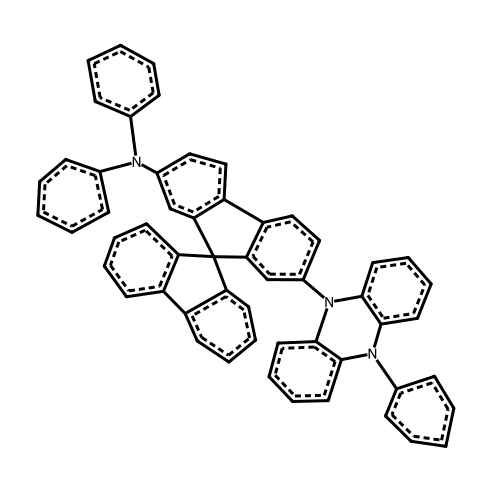 c1ccc(N(c2ccccc2)c2ccc3c(c2)C2(c4ccccc4-c4ccccc42)c2cc(N4c5ccccc5N(c5ccccc5)c5ccccc54)ccc2-3)cc1